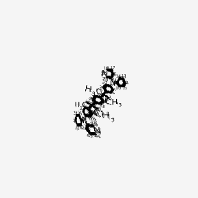 CCC(C)(c1ccc(N(c2ccccc2)c2cccnc2)cc1)c1ccc(C(CC)(CC)c2ccc(N(C3=CCCC=C3)c3cccnc3)cc2)cc1